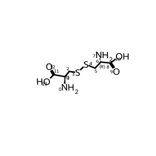 N[C@H](CSSC[C@H](N)C(=O)O)C(=O)O